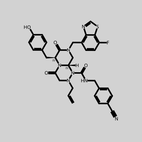 C=CCN1CC(=O)N2[C@@H](Cc3ccc(O)cc3)C(=O)N(Cc3ccc(F)c4scnc34)C[C@@H]2N1C(=O)NCc1ccc(C#N)cc1